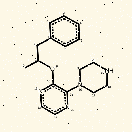 CC(Cc1ccccc1)Oc1nccnc1N1CCNCC1